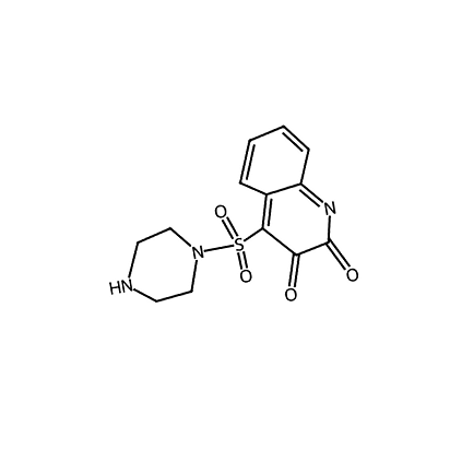 O=C1N=c2ccccc2=C(S(=O)(=O)N2CCNCC2)C1=O